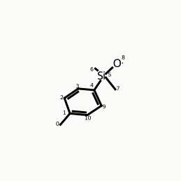 Cc1ccc([Si](C)(C)[O])cc1